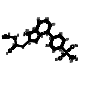 CC(C)(C)OC(=O)Cc1cc2c(-c3ccc(S(N)(=O)=O)cc3)ccnc2[nH]1